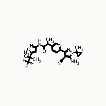 CC(C(=O)Nc1cc(C(C)(C)C(F)(F)F)on1)c1ccc(-c2nn(C3(C)CC3)c(N)c2C#N)nc1